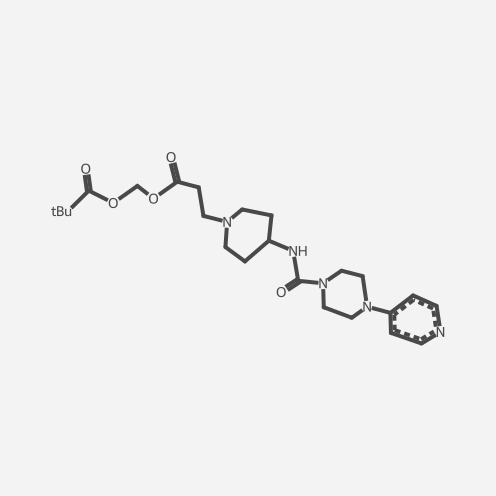 CC(C)(C)C(=O)OCOC(=O)CCN1CCC(NC(=O)N2CCN(c3ccncc3)CC2)CC1